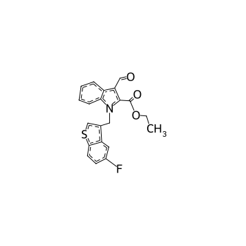 CCOC(=O)c1c(C=O)c2ccccc2n1Cc1csc2ccc(F)cc12